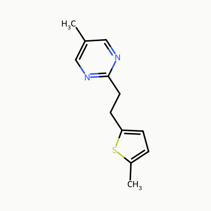 Cc1cnc(CCc2ccc(C)s2)nc1